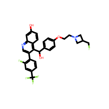 Oc1ccc2c(C(O)c3ccc(OCCN4CC(CF)C4)cc3)c(-c3ccc(C(F)(F)F)cc3F)cnc2c1